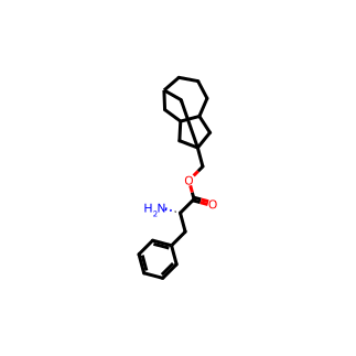 N[C@@H](Cc1ccccc1)C(=O)OCC12CC3CCCC(C1)C(C3)C2